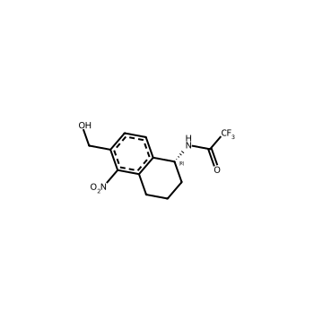 O=C(N[C@@H]1CCCc2c1ccc(CO)c2[N+](=O)[O-])C(F)(F)F